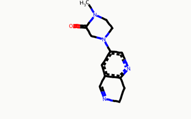 CN1CCN(c2cnc3c(c2)C=NCC3)CC1=O